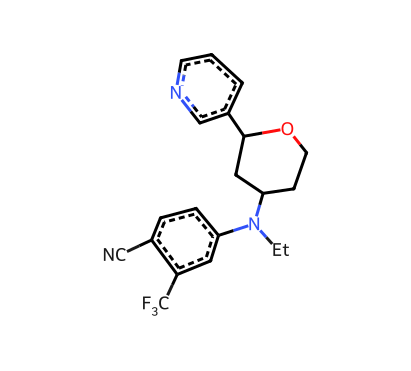 CCN(c1ccc(C#N)c(C(F)(F)F)c1)C1CCOC(c2cccnc2)C1